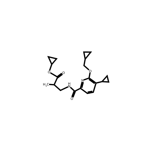 CC(CNC(=O)c1ccc(C2CC2)c(OCC2CC2)n1)C(=O)OC1CC1